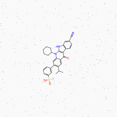 CC(C)c1cc2c(=O)c3c4ccc(C#N)cc4[nH]c3n(C3CCCCC3)c2cc1-c1cccc(S(=O)(=O)F)c1